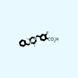 C[C@@H]1CN(Cc2ccc(C(=O)O)c(F)c2)C[C@H](C)N1Cc1ccccc1